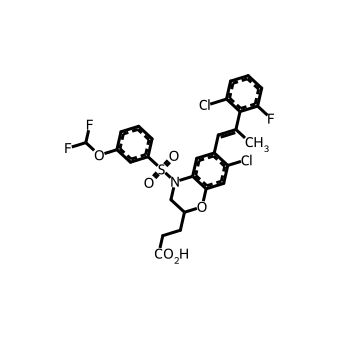 CC(=Cc1cc2c(cc1Cl)OC(CCC(=O)O)CN2S(=O)(=O)c1cccc(OC(F)F)c1)c1c(F)cccc1Cl